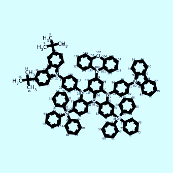 CC(C)(C)c1ccc2c(c1)c1cc(C(C)(C)C)ccc1n2-c1ccc(N2c3cc([Si](c4ccccc4)(c4ccccc4)c4ccccc4)ccc3B3c4ccc([Si](c5ccccc5)(c5ccccc5)c5ccccc5)cc4N(c4ccc(-n5c6ccccc6c6ccccc65)cc4)c4cc(N5c6ccccc6Oc6ccccc65)cc2c43)cc1